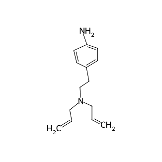 C=CCN(CC=C)CCc1ccc(N)cc1